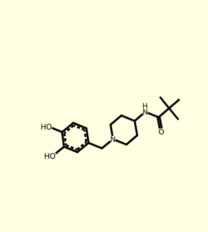 CC(C)(C)C(=O)NC1CCN(Cc2ccc(O)c(O)c2)CC1